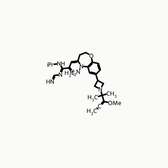 C=C=C(OC)C(C)(C)N1CC(c2ccc3c(c2)N(N)/C(=C\C(=C)/C(=N/C=N)NC(C)C)CCO3)C1